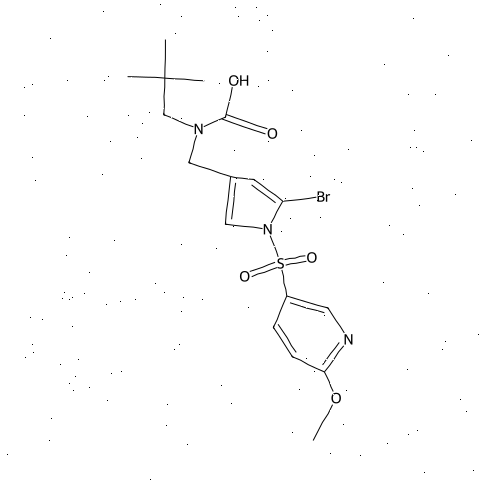 COc1ccc(S(=O)(=O)n2cc(CN(CC(C)(C)C)C(=O)O)cc2Br)cn1